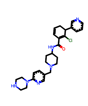 O=C(NC1CCN(Cc2ccc(N3CCNCC3)nc2)CC1)C1=C(Cl)C(c2cccnc2)CC=C1